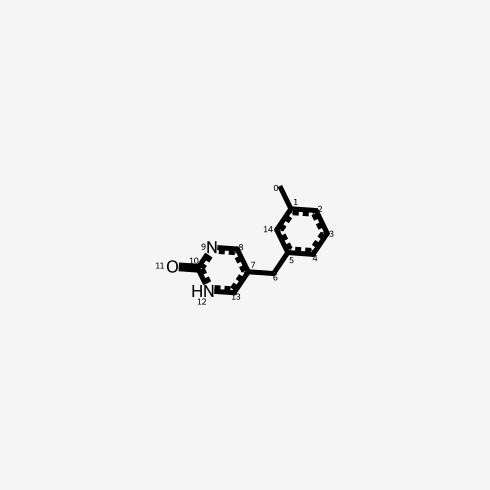 Cc1cccc(Cc2cnc(=O)[nH]c2)c1